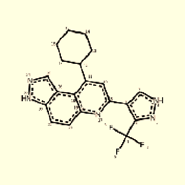 FC(F)(F)c1n[nH]cc1-c1cc(C2CCCCC2)c2c(ccc3[nH]ncc32)n1